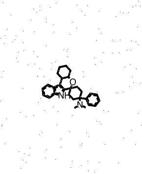 CN(C)C1(c2ccccc2)CCC2(CC1)OC1CCCCC1c1c2[nH]c2ccccc12